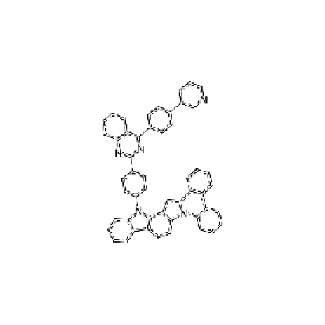 c1cncc(-c2ccc(-c3nc(-c4ccc(-n5c6ccccc6c6ccc7c(cc8c9ccccc9c9ccccc9n87)c65)cc4)nc4ccccc34)cc2)c1